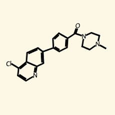 CN1CCN(C(=O)c2ccc(-c3ccc4c(Cl)ccnc4c3)cc2)CC1